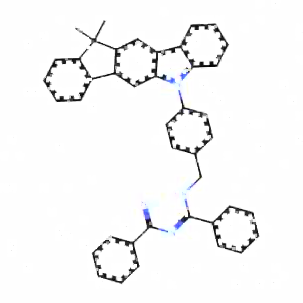 CC1(C)c2ccccc2-c2cc3c(cc21)c1ccccc1n3-c1ccc(CN/C(=N\C(=N)c2ccccc2)c2ccccc2)cc1